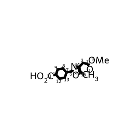 COC(=O)Cc1nc(C2CCC(C(=O)O)CC2)oc1C